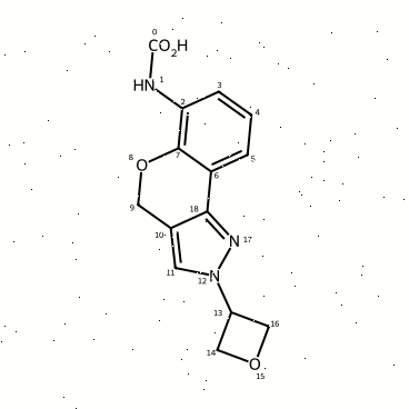 O=C(O)Nc1cccc2c1OCc1cn(C3COC3)nc1-2